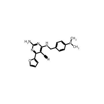 CN(C)c1ccc(CNc2nc(N)nc(-c3ccco3)c2C#N)cc1